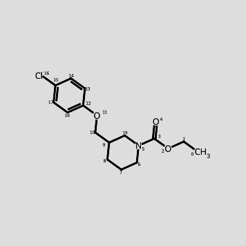 CCOC(=O)N1CCCC(COc2ccc(Cl)cc2)C1